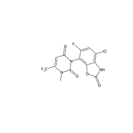 Cn1c(C(F)(F)F)cc(=O)n(-c2c(F)cc(Cl)c3[nH]c(=O)oc23)c1=O